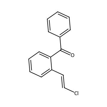 O=C(c1ccccc1)c1ccccc1C=CCl